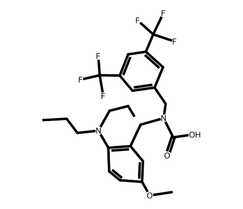 CCCN(CCC)c1ccc(OC)cc1CN(Cc1cc(C(F)(F)F)cc(C(F)(F)F)c1)C(=O)O